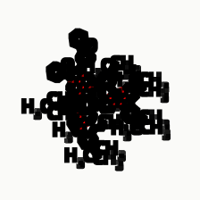 C=CCc1cc(C(C)(C)C)ccc1N(C)c1ccc2c(c1)N(c1c(-c3ccccc3)cc(C(C)(C)C)cc1-c1ccccc1)c1cc(-c3cc(-c4ccc5oc6ccccc6c5c4)c4oc5ccccc5c4c3)cc3c1B2c1ccc(-n2c4ccc(C(C)(C)C)cc4c4cc(C(C)(C)C)ccc42)cc1N3c1c(-c2ccccc2)cc(C(C)(C)C)cc1-c1ccccc1